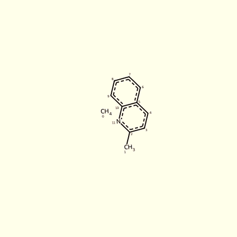 C.Cc1ccc2ccccc2n1